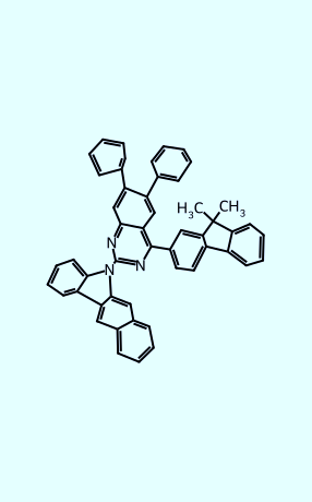 CC1(C)c2ccccc2-c2ccc(-c3nc(-n4c5ccccc5c5cc6ccccc6cc54)nc4cc(-c5ccccc5)c(-c5ccccc5)cc34)cc21